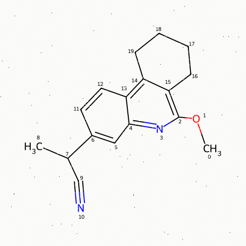 COc1nc2cc(C(C)C#N)ccc2c2c1CCCC2